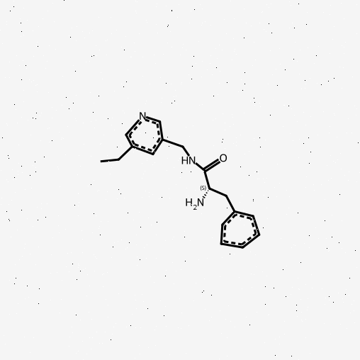 CCc1cncc(CNC(=O)[C@@H](N)Cc2ccccc2)c1